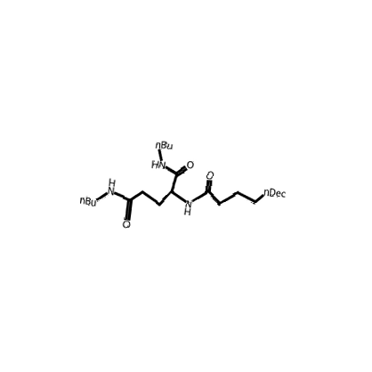 CCCCCCCCCCCCCC(=O)NC(CCC(=O)NCCCC)C(=O)NCCCC